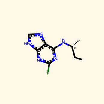 CC[C@@H](C)Nc1nc(F)nc2[nH]cnc12